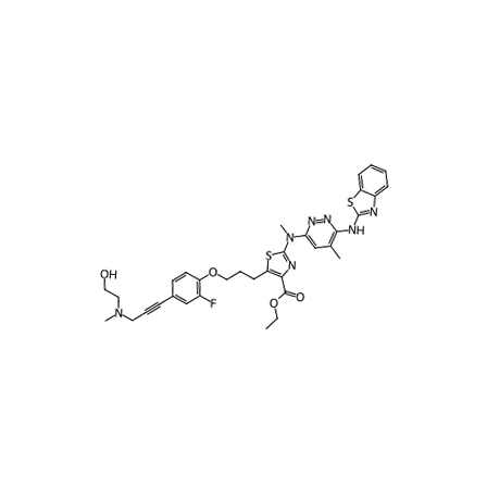 CCOC(=O)c1nc(N(C)c2cc(C)c(Nc3nc4ccccc4s3)nn2)sc1CCCOc1ccc(C#CCN(C)CCO)cc1F